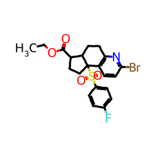 CCOC(=O)C1CCC2(S(=O)(=O)c3ccc(F)cc3)c3ccc(Br)nc3CCC12